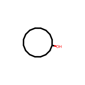 OC1[CH]CCCCCCCCCCCCCC1